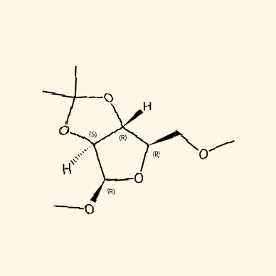 COC[C@H]1O[C@@H](OC)[C@H]2OC(C)(C)O[C@@H]21